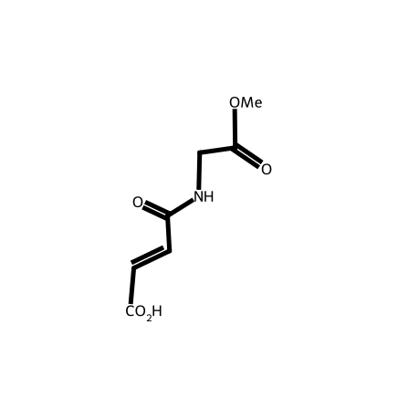 COC(=O)CNC(=O)C=CC(=O)O